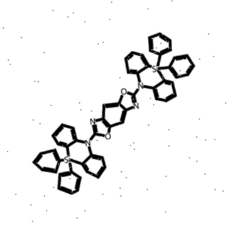 c1ccc([Si]2(c3ccccc3)c3ccccc3N(c3nc4cc5oc(N6c7ccccc7[Si](c7ccccc7)(c7ccccc7)c7ccccc76)nc5cc4o3)c3ccccc32)cc1